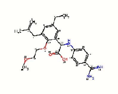 C=C(C)Cc1cc(CC)cc(C(Nc2ccc(C(=N)N)cc2)C(=O)O)c1OCCOC